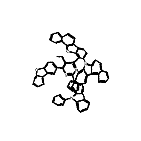 CCC1C(c2c(-n3c4cc5ccccc5cc4c4c5ccccc5ccc43)ccc3c2oc2c4ccccc4ccc32)=NC(c2ccc3c4ccccc4n(-c4ccccc4)c3c2)=NC1c1ccc2oc3ccccc3c2c1